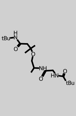 CC(COC(C)(C)CC(=O)NC(C)(C)C)NC(=O)CNC(=O)C(C)(C)C